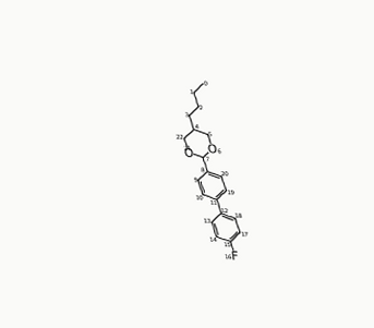 CCCCC1COC(c2ccc(-c3ccc(F)cc3)cc2)OC1